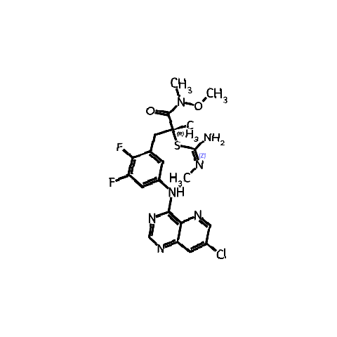 C/N=C(/N)S[C@](C)(Cc1cc(Nc2ncnc3cc(Cl)cnc23)cc(F)c1F)C(=O)N(C)OC